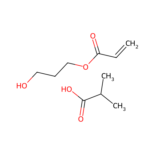 C=CC(=O)OCCCO.CC(C)C(=O)O